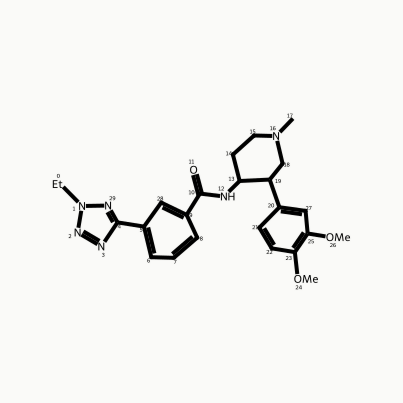 CCn1nnc(-c2cccc(C(=O)NC3CCN(C)CC3c3ccc(OC)c(OC)c3)c2)n1